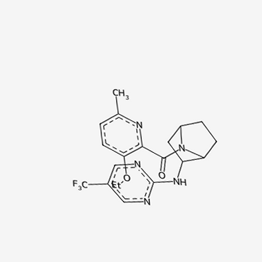 CCOc1ccc(C)nc1C(=O)N1C2CCC1C(Nc1ncc(C(F)(F)F)cn1)C2